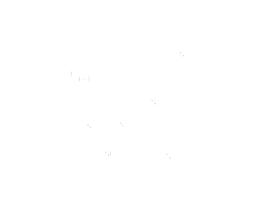 CN1CCC(n2c(-c3ccnc(N)n3)cc3c2CCNC3=O)CC1.Cl.Cl